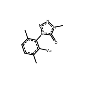 CC(=O)c1c(C)ccc(C)c1-n1nnn(C)c1=O